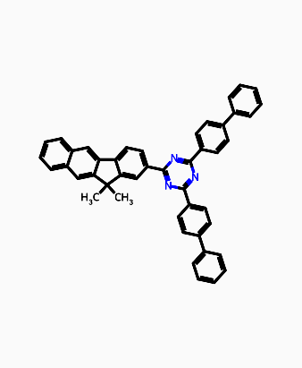 CC1(C)c2cc(-c3nc(-c4ccc(-c5ccccc5)cc4)nc(-c4ccc(-c5ccccc5)cc4)n3)ccc2-c2cc3ccccc3cc21